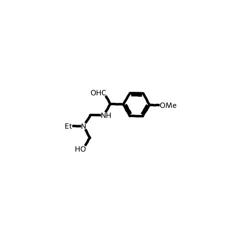 CCN(CO)CNC(C=O)c1ccc(OC)cc1